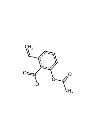 C=Cc1cccc(OC(N)=O)c1[N+](=O)[O-]